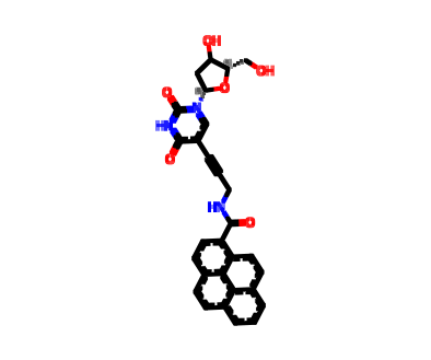 O=C(NCC#Cc1cn([C@@H]2CC(O)[C@H](CO)O2)c(=O)[nH]c1=O)c1ccc2ccc3cccc4ccc1c2c34